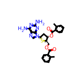 Cc1ccccc1C(=O)OC[C@H]1S[C@@H](n2cnc3c(N)nc(N)nc32)C[C@@H]1OC(=O)c1ccccc1C